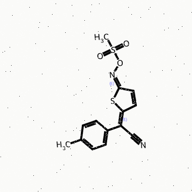 Cc1ccc(/C(C#N)=C2C=C/C(=N\OS(C)(=O)=O)S/2)cc1